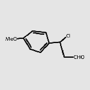 COc1ccc(C(Cl)CC=O)cc1